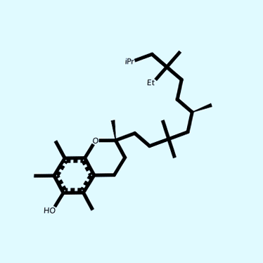 CCC(C)(CC[C@@H](C)CC(C)(C)CC[C@]1(C)CCc2c(C)c(O)c(C)c(C)c2O1)CC(C)C